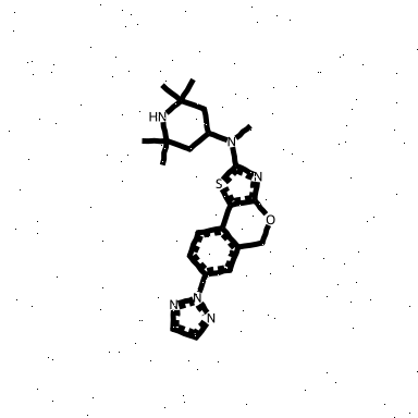 CN(c1nc2c(s1)-c1ccc(-n3nccn3)cc1CO2)C1CC(C)(C)NC(C)(C)C1